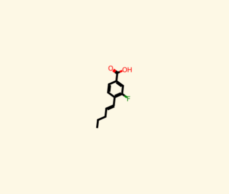 CCCC=Cc1ccc(C(=O)O)cc1F